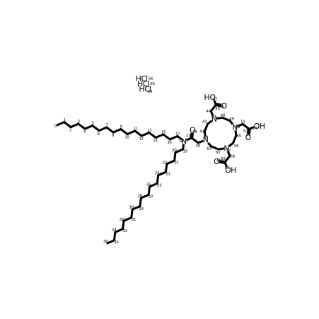 CCCCCCCCCCCCCCCCCCN(CCCCCCCCCCCCCCCCCC)C(=O)CN1CCN(CC(=O)O)CCN(CC(=O)O)CCN(CC(=O)O)CC1.Cl.Cl.Cl